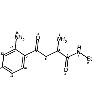 CCNC(=O)C(N)CC(=O)c1ccccc1N